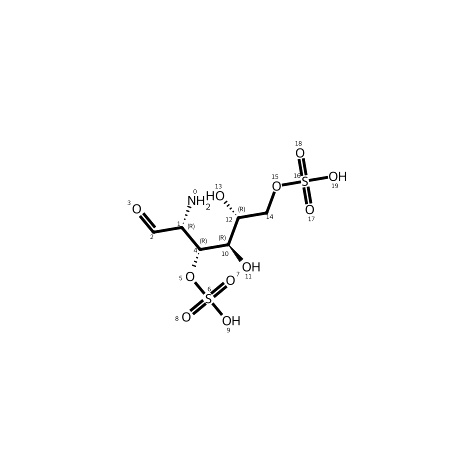 N[C@@H](C=O)[C@@H](OS(=O)(=O)O)[C@H](O)[C@H](O)COS(=O)(=O)O